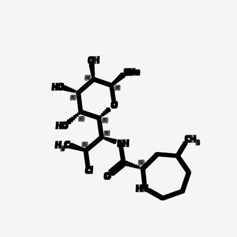 CS[C@H]1O[C@H]([C@H](NC(=O)[C@@H]2CC(C)CCCN2)[C@H](C)Cl)[C@H](O)[C@H](O)[C@H]1O